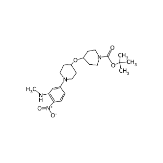 CNc1cc(N2CCC(OC3CCN(C(=O)OC(C)(C)C)CC3)CC2)ccc1[N+](=O)[O-]